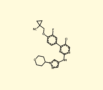 N#CC1(COc2ccc(-c3nc(Nc4cnn(C5CCOCC5)c4)ncc3Cl)cc2F)CC1